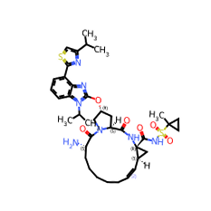 CC(C)c1csc(-c2cccc3c2nc(O[C@@H]2C[C@H]4C(=O)N[C@]5(C(=O)NS(=O)(=O)C6(C)CC6)C[C@H]5/C=C\CCCCC[C@H](N)C(=O)N4C2)n3C(C)C)n1